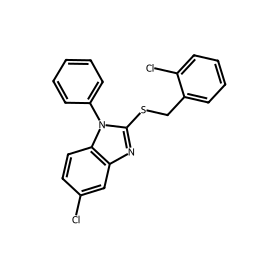 Clc1ccc2c(c1)nc(SCc1ccccc1Cl)n2-c1ccccc1